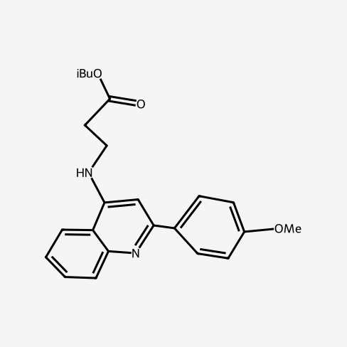 COc1ccc(-c2cc(NCCC(=O)OCC(C)C)c3ccccc3n2)cc1